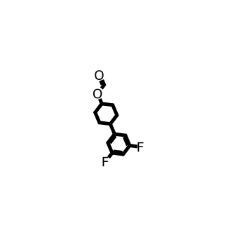 O=COC1CCC(c2cc(F)cc(F)c2)CC1